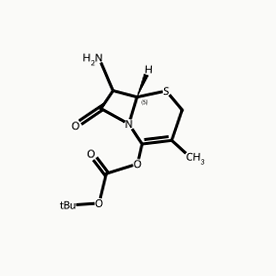 CC1=C(OC(=O)OC(C)(C)C)N2C(=O)C(N)[C@@H]2SC1